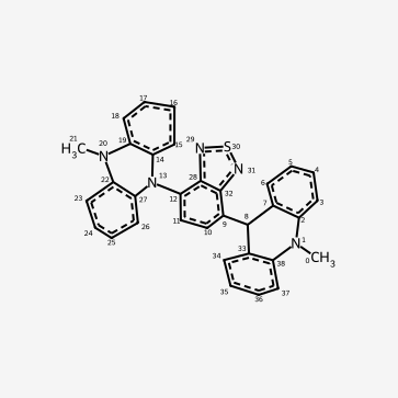 CN1c2ccccc2C(c2ccc(N3c4ccccc4N(C)c4ccccc43)c3nsnc23)c2ccccc21